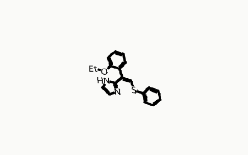 CCOc1ccccc1C(=CSc1ccccc1)c1ncc[nH]1